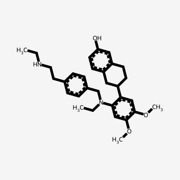 CCNCCc1ccc(CN(CC)c2cc(OC)c(OC)cc2C2CCc3cc(O)ccc3C2)cc1